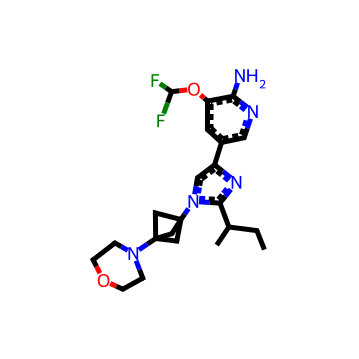 CCC(C)c1nc(-c2cnc(N)c(OC(F)F)c2)cn1C12CC(N3CCOCC3)(C1)C2